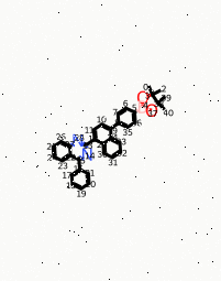 CC1(C)OB(c2ccc(-c3ccc(-c4nc(-c5ccccc5)c5ccccc5n4)c4ccccc34)cc2)OC1(C)C